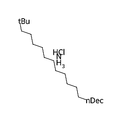 CCCCCCCCCCCCCCCCCCCCCC(C)(C)C.Cl.N